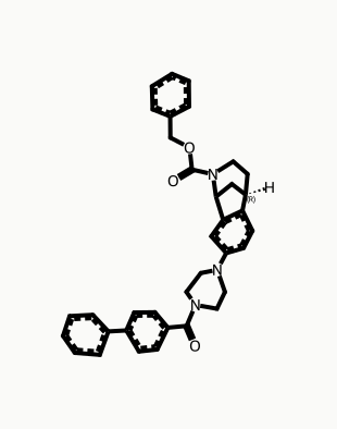 O=C(c1ccc(-c2ccccc2)cc1)N1CCN(c2ccc3c(c2)C2C[C@H]3CCN2C(=O)OCc2ccccc2)CC1